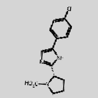 O=C(O)N1CCC[C@H]1c1ncc(-c2ccc(Cl)cc2)[nH]1